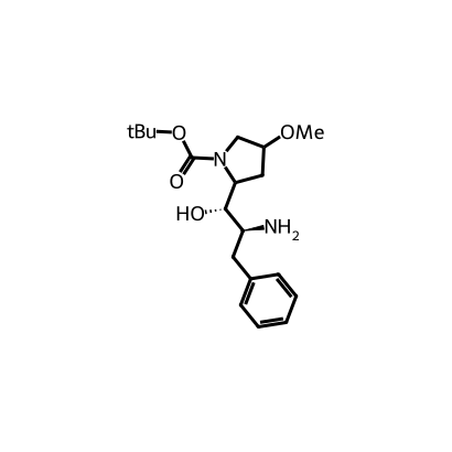 COC1CC([C@@H](O)[C@@H](N)Cc2ccccc2)N(C(=O)OC(C)(C)C)C1